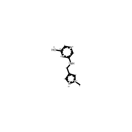 Cn1cc(CNc2cncc(O)n2)cn1